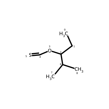 CCC(O[C]=S)C(C)C